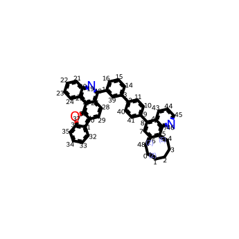 C1=C/CC\C=c2/c(cc(-c3ccc(-c4cccc(-c5nc6ccccc6c6c5ccc5c7ccccc7oc56)c4)cc3)c3cccnc23)=C\1